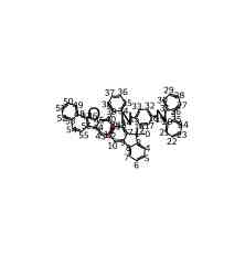 CC1(C)c2ccccc2-c2cccc(N(c3ccc(-n4c5ccccc5c5ccccc54)cc3)c3ccccc3-c3cccc4c3oc3c5ccccc5ccc43)c21